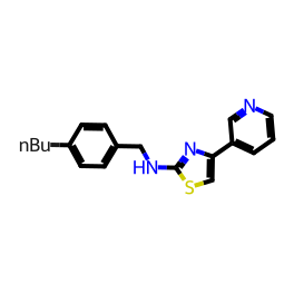 CCCCc1ccc(CNc2nc(-c3cccnc3)cs2)cc1